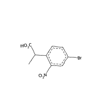 CC(C(=O)O)c1ccc(Br)cc1[N+](=O)[O-]